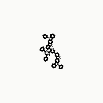 c1ccc(-c2nc(-c3ccccc3)nc(-c3cc(-c4ccc5sc6cc7c(cc6c5c4)c4ccccc4n7-c4ccccc4)cnc3-c3cccc4c3sc3cc5c6ccccc6n(-c6ccccc6)c5cc34)n2)cc1